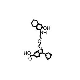 O=C(O)c1ccc2c(-c3ccccc3)cn(CCOCCNc3cc4c(cc3O)CCCC4)c2c1